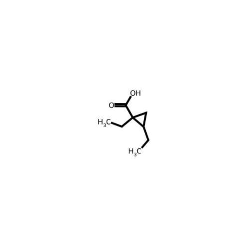 CCC1CC1(CC)C(=O)O